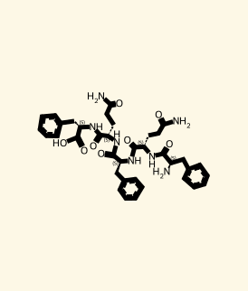 NC(=O)CC[C@H](NC(=O)[C@H](Cc1ccccc1)NC(=O)[C@H](CCC(N)=O)NC(=O)[C@@H](N)Cc1ccccc1)C(=O)N[C@@H](Cc1ccccc1)C(=O)O